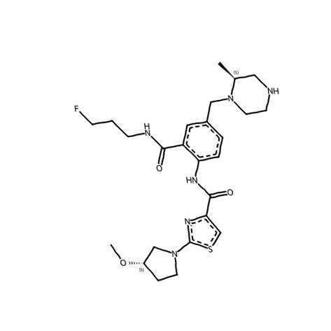 CO[C@H]1CCN(c2nc(C(=O)Nc3ccc(CN4CCNC[C@@H]4C)cc3C(=O)NCCCF)cs2)C1